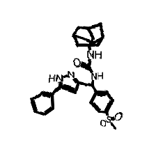 CS(=O)(=O)c1ccc(C(NC(=O)NC23CC4CC(CC(C4)C2)C3)c2cc(-c3ccccc3)[nH]n2)cc1